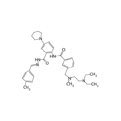 CCN(CC)CCN(C)Cc1cccc(C(=O)Nc2ccc(N3CCCCC3)cc2C(=O)NN=Cc2ccc(C)cc2)c1